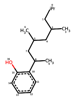 CC(C)CC(C)CC(C)CC(C)c1ccccc1O